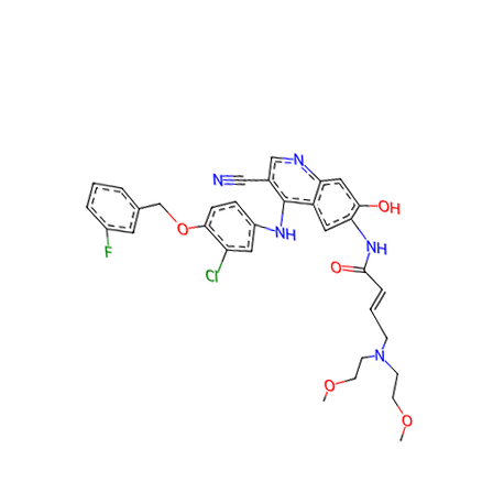 COCCN(C/C=C/C(=O)Nc1cc2c(Nc3ccc(OCc4cccc(F)c4)c(Cl)c3)c(C#N)cnc2cc1O)CCOC